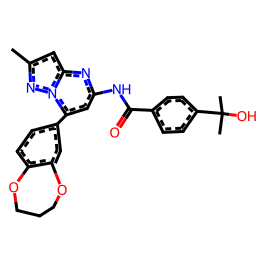 Cc1cc2nc(NC(=O)c3ccc(C(C)(C)O)cc3)cc(-c3ccc4c(c3)OCCCO4)n2n1